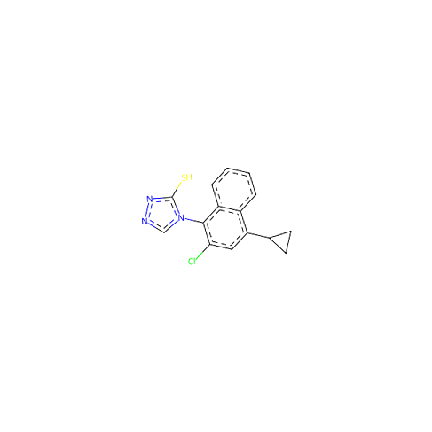 Sc1nncn1-c1c(Cl)cc(C2CC2)c2ccccc12